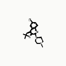 CN1CCN(c2nc3ccc(Cl)cc3c3c2=NC(C)(C)C=3)CC1